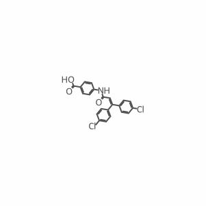 O=C(C=C(c1ccc(Cl)cc1)c1ccc(Cl)cc1)Nc1ccc(C(=O)O)cc1